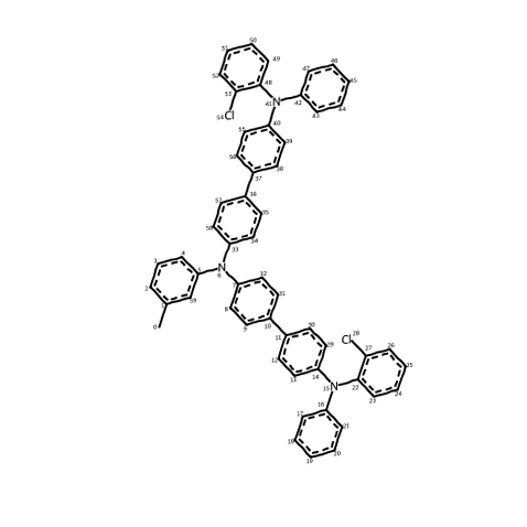 Cc1cccc(N(c2ccc(-c3ccc(N(c4ccccc4)c4ccccc4Cl)cc3)cc2)c2ccc(-c3ccc(N(c4ccccc4)c4ccccc4Cl)cc3)cc2)c1